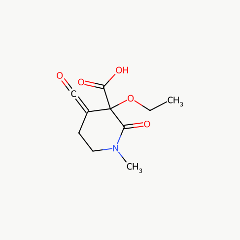 CCOC1(C(=O)O)C(=O)N(C)CCC1=C=O